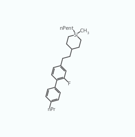 CCCCC[Si]1(C)CCC(CCc2ccc(-c3ccc(CCC)cc3)c(F)c2)CC1